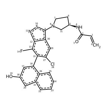 C=CC(=O)N[C@@H]1CCN(c2snc3c(F)c(-c4cc(O)cc5ccccc45)c(Cl)cc23)C1